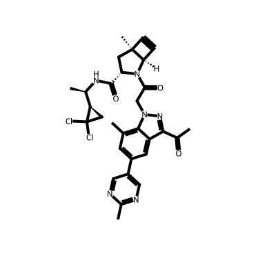 CC(=O)c1nn(CC(=O)N2[C@H](C(=O)N[C@H](C)[C@H]3CC3(Cl)Cl)C[C@@]3(C)C#C[C@@H]23)c2c(C)cc(-c3cnc(C)nc3)cc12